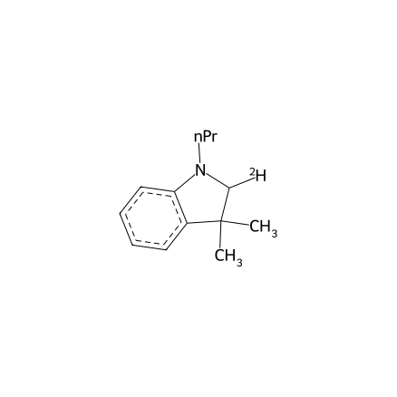 [2H]C1N(CCC)c2ccccc2C1(C)C